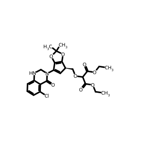 CCOC(=O)C(OC[C@H]1C=C(N2CNc3cccc(Cl)c3C2=O)C2=C1OC(C)(C)O2)C(=O)OCC